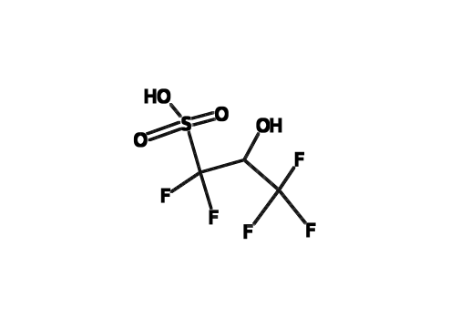 O=S(=O)(O)C(F)(F)C(O)C(F)(F)F